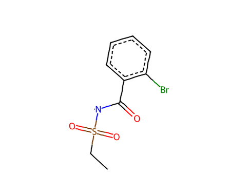 CCS(=O)(=O)[N]C(=O)c1ccccc1Br